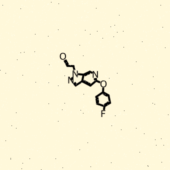 O=CCn1ncc2cc(Oc3ccc(F)cc3)ncc21